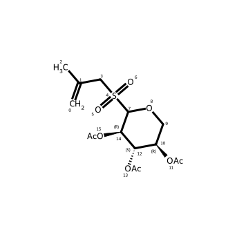 C=C(C)CS(=O)(=O)C1OC[C@@H](OC(C)=O)[C@H](OC(C)=O)[C@H]1OC(C)=O